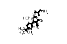 CC(C)(C)c1ccc(-c2nc3n(c(=O)c2C#N)CC(CN)CS3)cn1.Cl